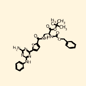 CC(C)(C)OC(=O)[C@H](CNC(=O)c1ccc(-c2nc(N)nc(Nc3ccccc3)n2)s1)NC(=O)OCc1ccccc1